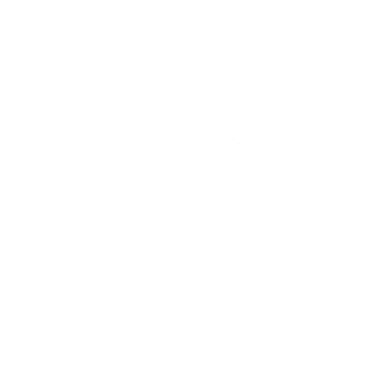 Cc1ccc(-c2cccc3c2N=N[N]3)cc1